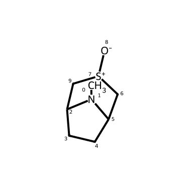 CN1C2CCC1C[S+]([O-])C2